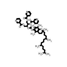 Cc1c(C)c2c(c(C)c1OC(=O)OC(COC(=O)c1cccnc1)C(COC(=O)c1cccnc1)OC(=O)c1cccnc1)CCC(C)(CCCC(C)CCCC(C)CCCC(C)C)O2